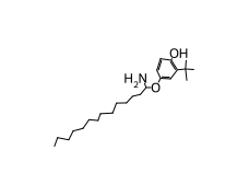 CCCCCCCCCCCCCC(N)Oc1ccc(O)c(C(C)(C)C)c1